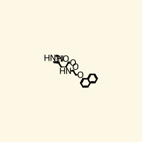 O=C(COc1cccc2ccccc12)N[C@@H](Cc1c[nH]cn1)C(=O)O